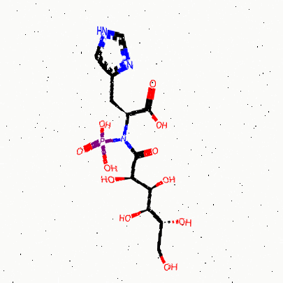 O=C(O)[C@H](Cc1c[nH]cn1)N(C(=O)[C@H](O)[C@@H](O)[C@H](O)[C@H](O)CO)P(=O)(O)O